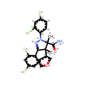 CC1(c2ccoc2)C(c2ccc(F)cc2F)=NN(c2ccc(F)cc2F)C1(C)C(N)=O